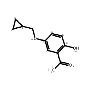 CC(=O)c1cc(OCC2CC2)ccc1O